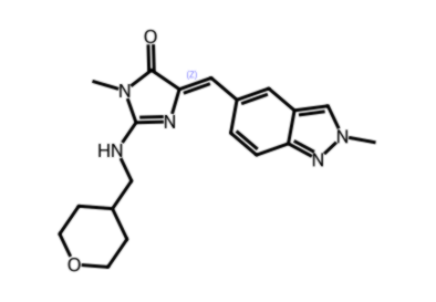 CN1C(=O)/C(=C/c2ccc3nn(C)cc3c2)N=C1NCC1CCOCC1